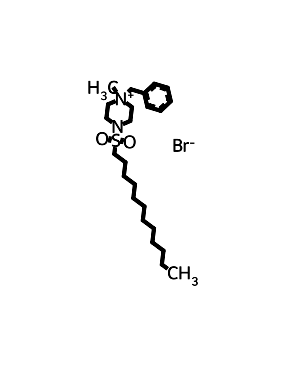 CCCCCCCCCCCCS(=O)(=O)N1CC[N+](C)(Cc2ccccc2)CC1.[Br-]